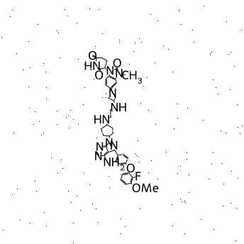 COc1cccc(Oc2ccc(-c3nn(C4CCC(NCCNC5CN(c6ccc7c(c6)n(C)c(=O)n7C6CCC(=O)NC6=O)C5)CC4)c4ncnc(N)c34)cc2)c1F